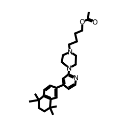 CC(=O)OCCCCN1CCN(c2cc(-c3ccc4c(c3)C(C)(C)CCC4(C)C)ccn2)CC1